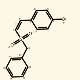 O=S(=O)(/C=C\c1ccc(Br)cc1)Cc1ccccc1